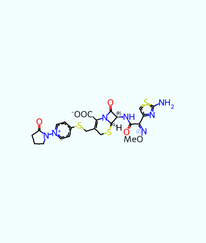 CO/N=C(\C(=O)N[C@@H]1C(=O)N2C(C(=O)[O-])=C(CSc3cc[n+](N4CCCC4=O)cc3)CS[C@H]12)c1csc(N)n1